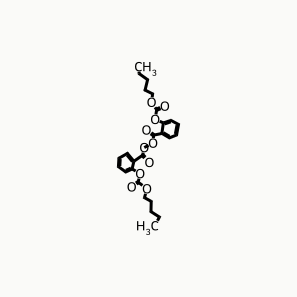 CCCCCOC(=O)Oc1ccccc1C(=O)OOC(=O)c1ccccc1OC(=O)OCCCCC